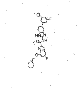 O=C(Nc1nc2cc(-c3cc(F)cc(Cl)c3)ccc2[nH]1)c1cn2cc(F)cc(OCCN3CCCCC3)c2n1